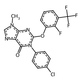 Cn1cnc2c(=O)n(-c3ccc(Cl)cc3)c(Oc3cccc(C(F)(F)F)c3F)nc21